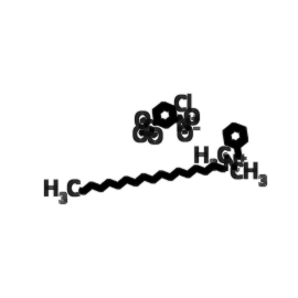 CCCCCCCCCCCCCCCCCC[N+](C)(C)Cc1ccccc1.O=[N+]([O-])c1cc(S(=O)(=O)[O-])ccc1Cl